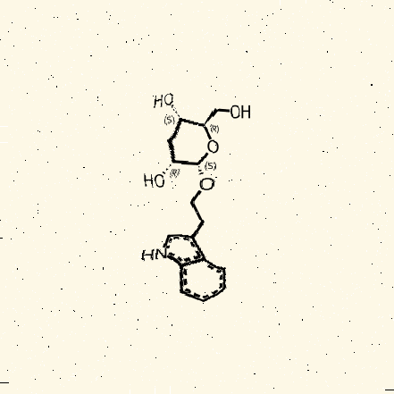 OC[C@H]1O[C@H](OCCc2c[nH]c3ccccc23)[C@H](O)C[C@@H]1O